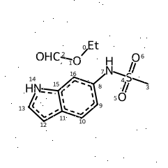 CCOC=O.CS(=O)(=O)Nc1ccc2cc[nH]c2c1